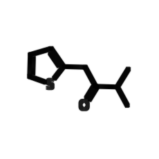 CC(C)C(=O)Cc1cccs1